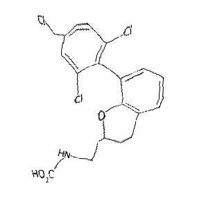 O=C(O)NCC1Cc2cccc(-c3c(Cl)cc(Cl)cc3Cl)c2O1